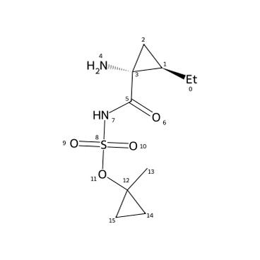 CC[C@@H]1C[C@]1(N)C(=O)NS(=O)(=O)OC1(C)CC1